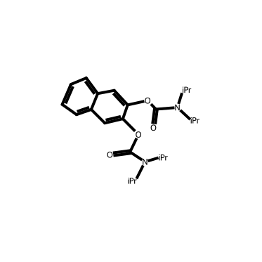 CC(C)N(C(=O)Oc1cc2ccccc2cc1OC(=O)N(C(C)C)C(C)C)C(C)C